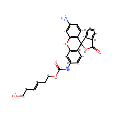 Nc1ccc2c(c1)Oc1cc(NC(=O)OCC/C=C/CCO)ccc1C21OC(=O)c2ccccc21